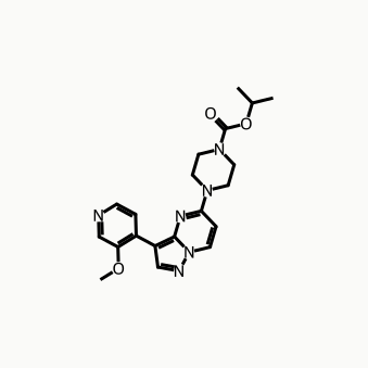 COc1cnccc1-c1cnn2ccc(N3CCN(C(=O)OC(C)C)CC3)nc12